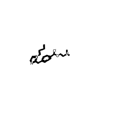 CCCCn1ccnc1Cc1ccc(C(Cl)OCCN(C)C)cc1